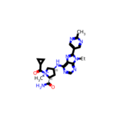 CCn1c(-c2cnc(C)nc2)nc2c(N[C@H]3C[C@H](C(N)=O)[N+](C)(C(=O)C4CC4)C3)ncnc21